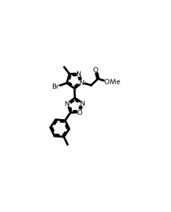 COC(=O)Cn1nc(C)c(Br)c1-c1noc(-c2cccc(C)c2)n1